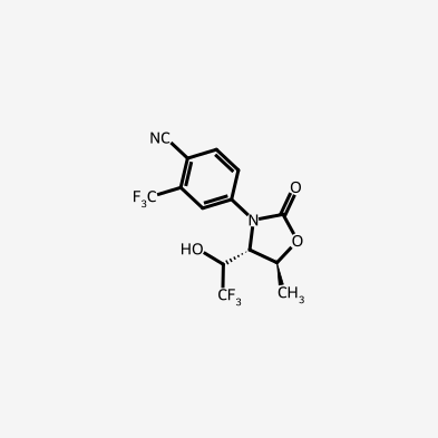 C[C@@H]1OC(=O)N(c2ccc(C#N)c(C(F)(F)F)c2)[C@H]1C(O)C(F)(F)F